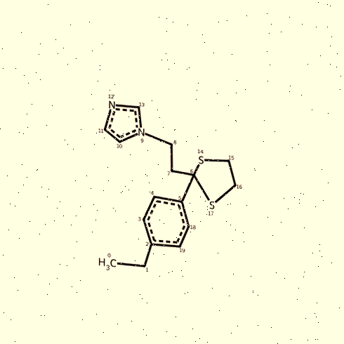 CCc1ccc(C2(CCn3ccnc3)SCCS2)cc1